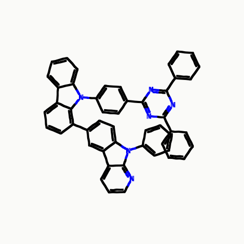 c1ccc(-c2nc(-c3ccccc3)nc(-c3ccc(-n4c5ccccc5c5cccc(-c6ccc7c(c6)c6cccnc6n7-c6ccccc6)c54)cc3)n2)cc1